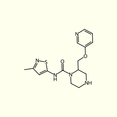 Cc1cc(NC(=O)N2CCNCC2COc2cccnc2)sn1